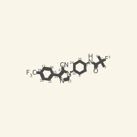 CC(C)(F)C(=O)N[C@H]1CC[C@@H](n2cnc(-c3ccc(C(F)(F)F)cc3)c2C#N)CC1